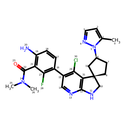 Cc1ccnn1[C@H]1CC[C@]2(CNc3ncc(-c4ccc(N)c(C(=O)N(C)C)c4F)c(Cl)c32)C1